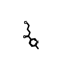 Cc1ccc(C(=O)CCCCl)cn1